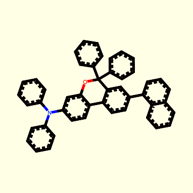 c1ccc(N(c2ccccc2)c2ccc3c(c2)OC(c2ccccc2)(c2ccccc2)c2cc(-c4cccc5ccccc45)ccc2-3)cc1